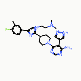 Cc1cc(-c2cn(CCN(C)C)c(C3CCN(c4ncnc(N)c4-c4cn[nH]c4)CC3)n2)ccc1F